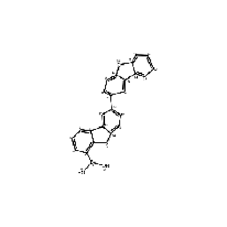 OB(O)c1cccc2c1sc1ccc(-c3ccc4oc5ccccc5c4c3)cc12